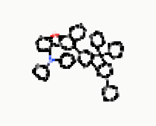 c1ccc(-c2ccc3c(c2)-c2ccc(-c4cc5c(oc6cccc(N(c7ccccc7)c7ccccc7)c65)c5ccccc45)cc2C3(c2ccccc2)c2ccccc2)cc1